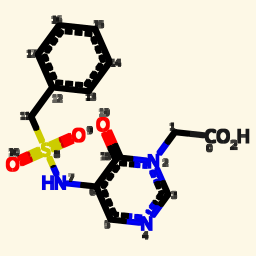 O=C(O)Cn1cncc(NS(=O)(=O)Cc2ccccc2)c1=O